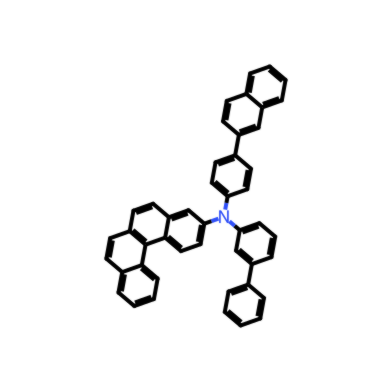 c1ccc(-c2cccc(N(c3ccc(-c4ccc5ccccc5c4)cc3)c3ccc4c(ccc5ccc6ccccc6c54)c3)c2)cc1